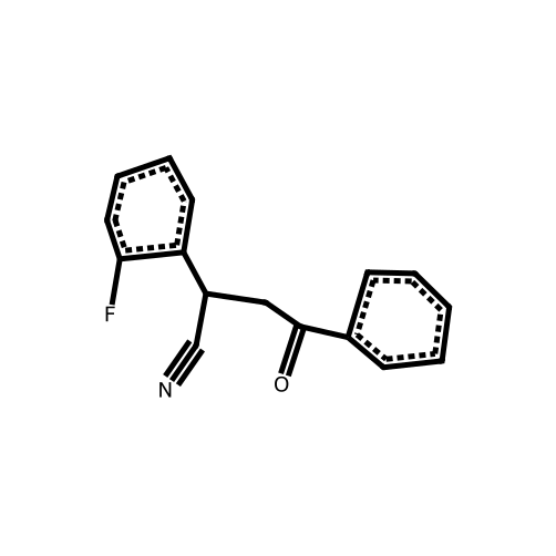 N#CC(CC(=O)c1ccccc1)c1ccccc1F